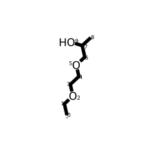 [CH2]COCCOCC(C)O